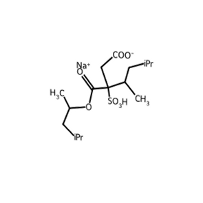 CC(C)CC(C)OC(=O)C(CC(=O)[O-])(C(C)CC(C)C)S(=O)(=O)O.[Na+]